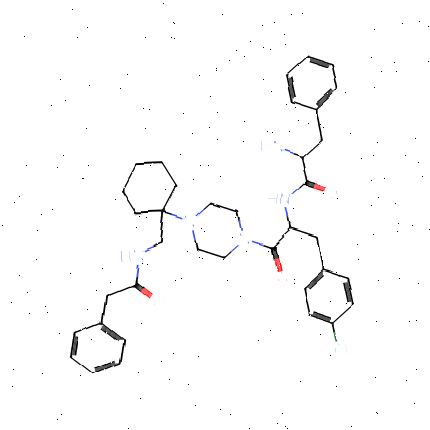 NC(Cc1ccccc1)C(=O)NC(Cc1ccc(Cl)cc1)C(=O)N1CCN(C2(CNC(=O)Cc3ccccc3)CCCCC2)CC1